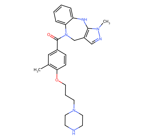 Cc1cc(C(=O)N2Cc3cnn(C)c3Nc3ccccc32)ccc1OCCCN1CCNCC1